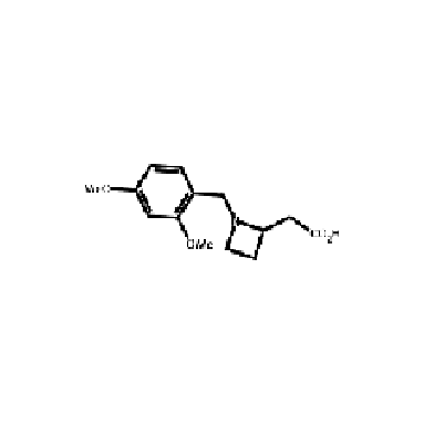 COc1ccc(CN2CCC2CC(=O)O)c(OC)c1